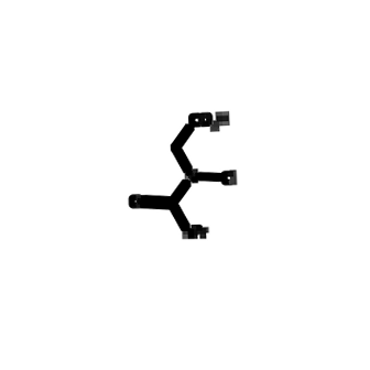 CCCC(=O)N(Cl)CC(=O)O